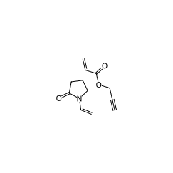 C#CCOC(=O)C=C.C=CN1CCCC1=O